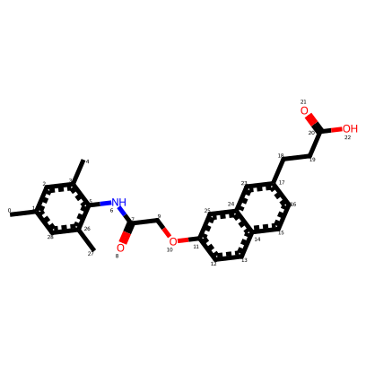 Cc1cc(C)c(NC(=O)COc2ccc3ccc(CCC(=O)O)cc3c2)c(C)c1